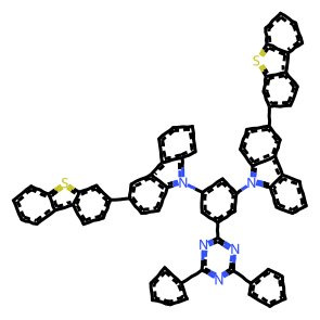 c1ccc(-c2nc(-c3ccccc3)nc(-c3cc(-n4c5ccccc5c5cc(-c6ccc7c(c6)sc6ccccc67)ccc54)cc(-n4c5ccccc5c5cc(-c6ccc7c(c6)sc6ccccc67)ccc54)c3)n2)cc1